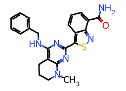 CN1CCCc2c(NCc3ccccc3)nc(-c3snc4c(C(N)=O)cccc34)nc21